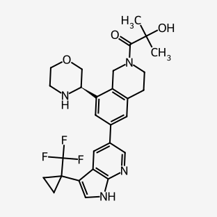 CC(C)(O)C(=O)N1CCc2cc(-c3cnc4[nH]cc(C5(C(F)(F)F)CC5)c4c3)cc([C@@H]3COCCN3)c2C1